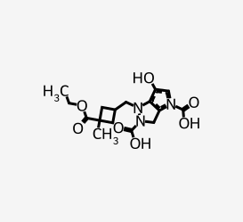 CCOC(=O)C1(C)CC(CN2c3c(O)cn(C(=O)O)c3CN2C(=O)O)C1